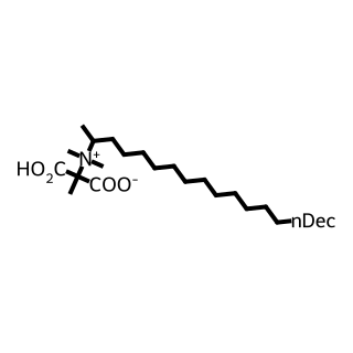 CCCCCCCCCCCCCCCCCCCCCCC(C)[N+](C)(C)C(C)(C(=O)[O-])C(=O)O